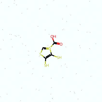 O=C(O)S1=CSC(S)=C1S